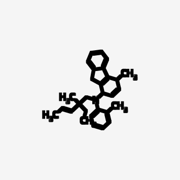 CC=CC(C)(CC)CN(c1ccccc1C)C1C=CC(C)C2=C1Cc1ccccc12